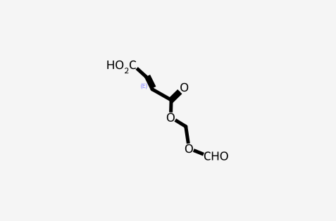 O=COCOC(=O)/C=C/C(=O)O